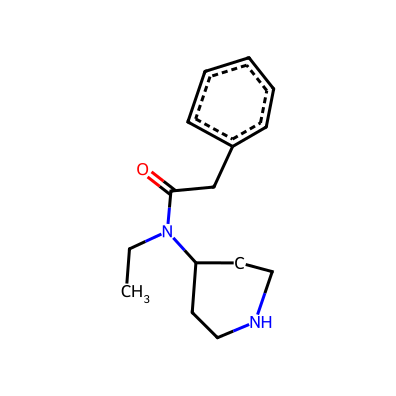 CCN(C(=O)Cc1ccccc1)C1CCNCC1